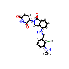 CNc1cccc(CNc2cccc3c2CN(C2CCC(=O)NC2=O)C3=O)c1F